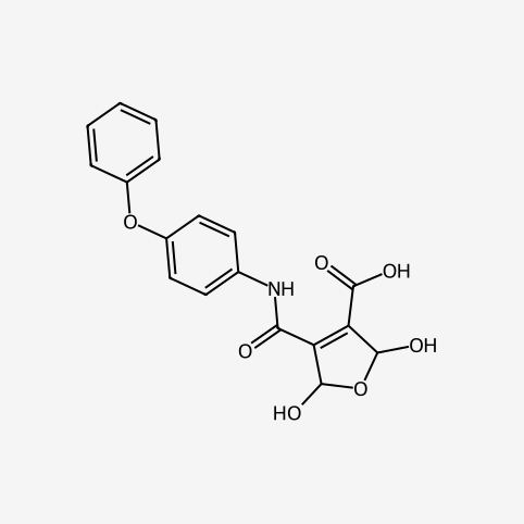 O=C(O)C1=C(C(=O)Nc2ccc(Oc3ccccc3)cc2)C(O)OC1O